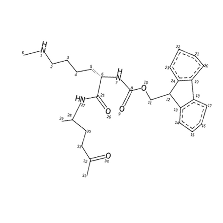 CNCCCC[C@H](NC(=O)OCC1c2ccccc2-c2ccccc21)C(=O)NC(C)CCC(C)=O